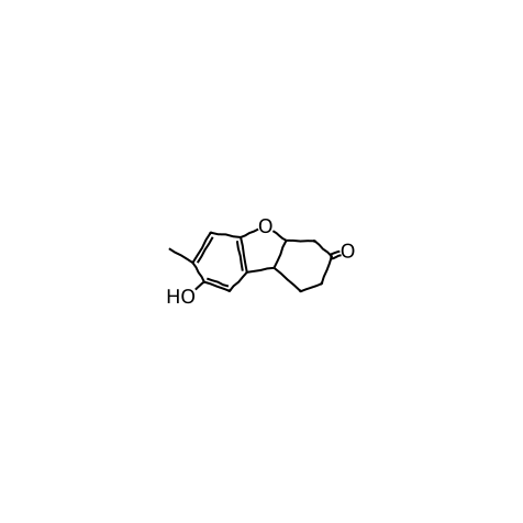 Cc1cc2c(cc1O)C1CCC(=O)CC1O2